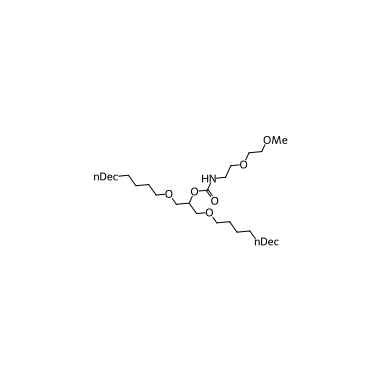 CCCCCCCCCCCCCCOCC(COCCCCCCCCCCCCCC)OC(=O)NCCOCCOC